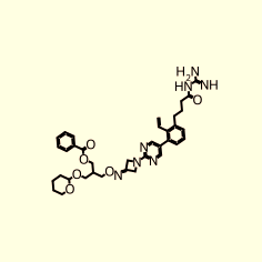 C=Cc1c(CCCC(=O)NC(=N)N)cccc1-c1cnc(N2CC(=NOCC(COC(=O)c3ccccc3)COC3CCCCO3)C2)nc1